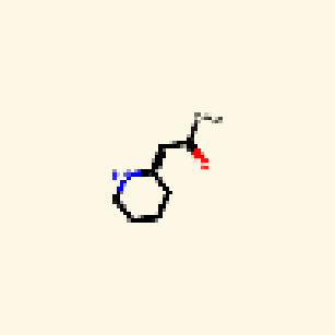 COC(=O)/C=C1\CCCCN1